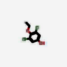 [CH2]COc1c(Cl)cc(O)cc1Cl